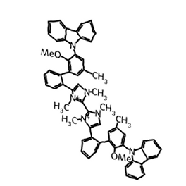 COc1c(-c2ccccc2-c2cn(C)c(-c3n(C)cc(-c4ccccc4-c4cc(C)cc(-n5c6ccccc6c6ccccc65)c4OC)[n+]3C)[n+]2C)cc(C)cc1-n1c2ccccc2c2ccccc21